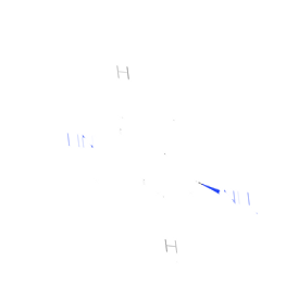 N[C@@H]1C[C@H]2C[C@@H]1CN2